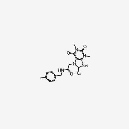 Cc1ccc(CNC(=O)CN2c3c(n(C)c(=O)n(C)c3=O)NC2Cl)cc1